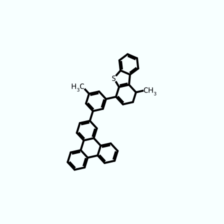 Cc1cc(C2=CCC(C)c3c2sc2ccccc32)cc(-c2ccc3c4ccccc4c4ccccc4c3c2)c1